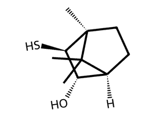 CC1(C)[C@H]2CC[C@]1(C)[C@H](S)[C@H]2O